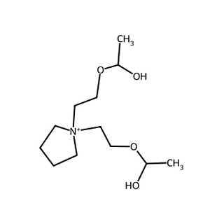 CC(O)OCC[N+]1(CCOC(C)O)CCCC1